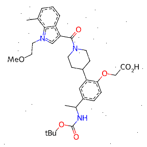 COCCn1cc(C(=O)N2CCC(c3cc(C(C)NC(=O)OC(C)(C)C)ccc3OCC(=O)O)CC2)c2cccc(C)c21